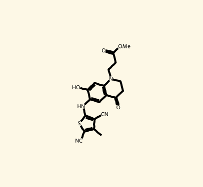 COC(=O)CCN1CCC(=O)c2cc(Nc3sc(C#N)c(C)c3C#N)c(O)cc21